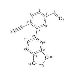 N#Cc1ccc(C=O)cc1-c1ccc2c(c1)OCO2